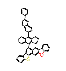 C1=c2c(-c3ccc4cc(-c5ccccc5)ccc4c3)c3ccccc3c(-c3cc4c5ccccc5sc4c4cc5oc6ccccc6c5cc34)c2=CCC1